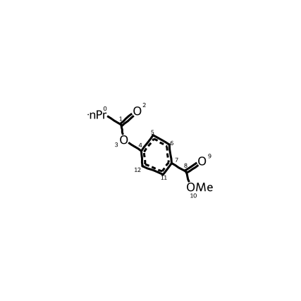 CC[CH]C(=O)Oc1ccc(C(=O)OC)cc1